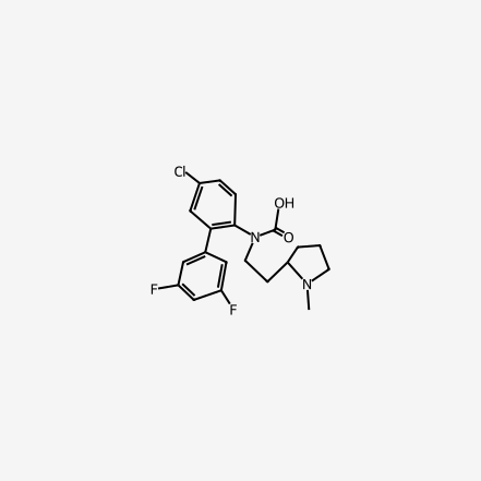 CN1CCCC1CCN(C(=O)O)c1ccc(Cl)cc1-c1cc(F)cc(F)c1